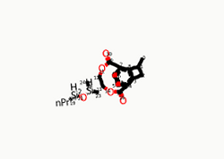 CC1Cc2c3c4c(c(c21)C(=O)OCCOC3=O)CC4.CCC[SiH2]O[SiH](C)C